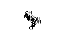 OC(c1ccc(Cl)cc1)[C@H]1O[C@@H](n2ccc3c2N=CN2C3=NCC2O)[C@H](O)[C@@H]1O